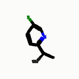 C[C@H](c1ccc(F)cn1)C(C)(C)C